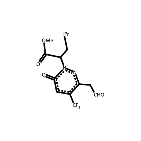 COC(=O)C(CC(C)C)n1nc(CC=O)c(C(F)(F)F)cc1=O